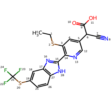 CCSc1cc(C(C#N)C(=O)O)cnc1-c1nc2cc(SC(F)(F)F)ccc2[nH]1